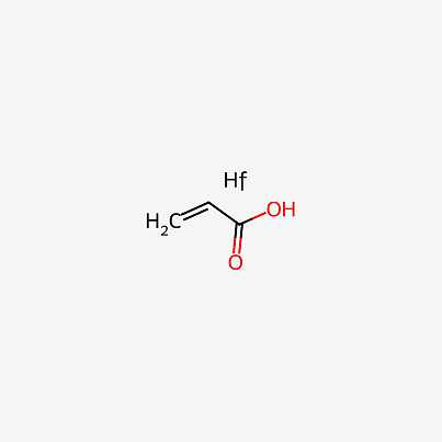 C=CC(=O)O.[Hf]